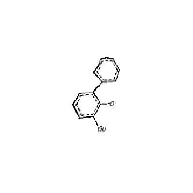 CC(C)(C)c1cccc(-c2ccccc2)c1[O]